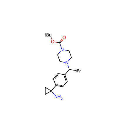 CC(C)C(c1ccc(C2(N)CC2)cc1)N1CCN(C(=O)OC(C)(C)C)CC1